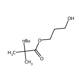 CCCCC(C)(C)C(=O)OCCCO